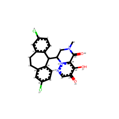 CN1CC(C2c3ccc(Cl)cc3CCc3cc(Cl)ccc32)n2ncc(=O)c(O)c2C1=O